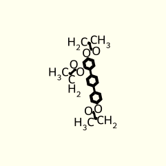 C=C(C)C(=O)Oc1ccc(-c2ccc(-c3ccc(OC(=O)C(=C)C)cc3OC(=O)C(=C)C)cc2)cc1